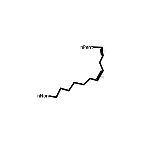 CCCCC/C=C\C/C=C\CCCCCCCCCCCCCCC